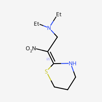 CCN(CC)C/C(=C1\NCCCS1)[N+](=O)[O-]